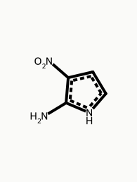 Nc1[nH]ccc1[N+](=O)[O-]